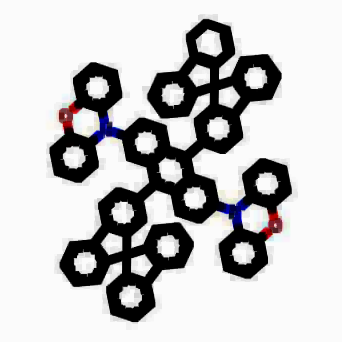 C1=CC2=C(CC1)c1ccccc1C21c2ccccc2-c2ccc(-c3c4ccc(N5c6ccccc6Oc6ccccc65)cc4c(-c4ccc5c(c4)C4(c6ccccc6-c6ccccc64)c4ccccc4-5)c4ccc(N5c6ccccc6Oc6ccccc65)cc34)cc21